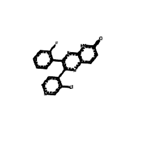 O=c1ccc2nc(-c3ccncc3Cl)c(-c3ccccc3F)nc2[nH]1